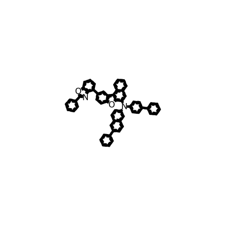 c1ccc(-c2ccc(N(c3ccc4cc(-c5ccccc5)ccc4c3)c3cc4ccccc4c4c3oc3ccc(-c5cccc6oc(-c7ccccc7)nc56)cc34)cc2)cc1